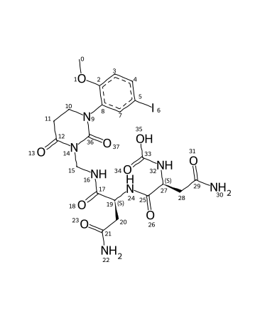 COc1ccc(I)cc1N1CCC(=O)N(CNC(=O)[C@H](CC(N)=O)NC(=O)[C@H](CC(N)=O)NC(=O)O)C1=O